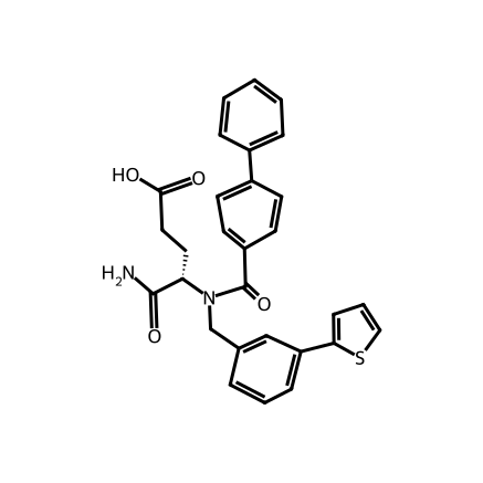 NC(=O)[C@H](CCC(=O)O)N(Cc1cccc(-c2cccs2)c1)C(=O)c1ccc(-c2ccccc2)cc1